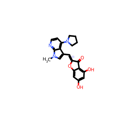 Cn1cc(/C=C2\Oc3cc(O)cc(O)c3C2=O)c2c(N3CCCC3)ccnc21